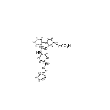 O=C(O)COc1ccc(-c2ccccc2C(=O)Nc2ccc(NCCc3ccccn3)cc2)cc1